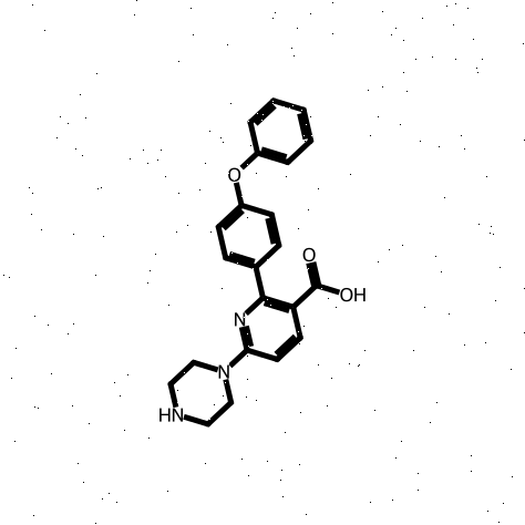 O=C(O)c1ccc(N2CCNCC2)nc1-c1ccc(Oc2ccccc2)cc1